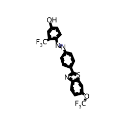 Oc1ccc(/N=N/c2ccc(-c3nc4ccc(OC(F)(F)F)cc4s3)cc2)c(C(F)(F)F)c1